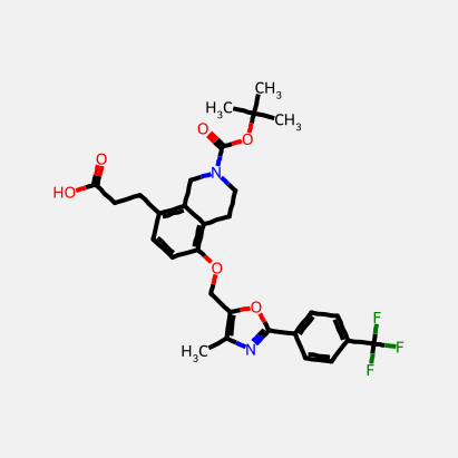 Cc1nc(-c2ccc(C(F)(F)F)cc2)oc1COc1ccc(CCC(=O)O)c2c1CCN(C(=O)OC(C)(C)C)C2